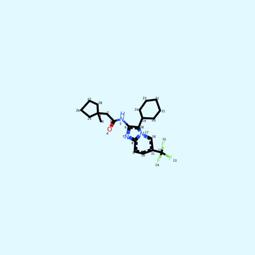 CC1(CC(=O)Nc2nc3ccc(C(F)(F)F)cn3c2C2CCCCC2)CCCC1